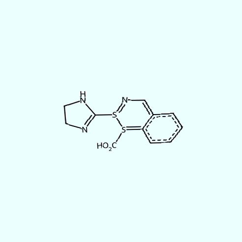 O=C(O)S1=c2ccccc2=CN=S1C1=NCCN1